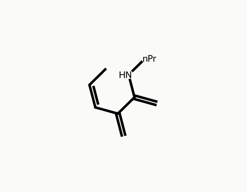 C=C(/C=C\C)C(=C)NCCC